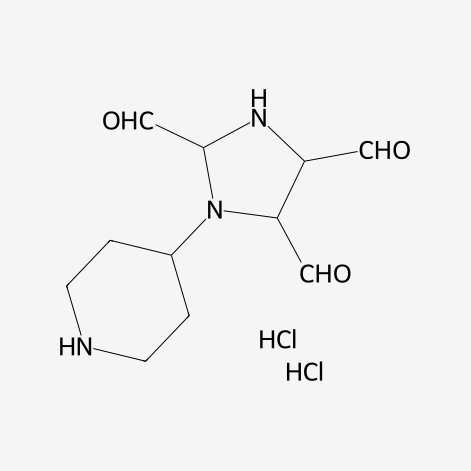 Cl.Cl.O=CC1NC(C=O)N(C2CCNCC2)C1C=O